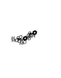 C[C@@](O)(C(=O)Nc1ccc(S(=O)(=O)NC(=O)c2ccccc2)cc1Cl)C(F)(F)F